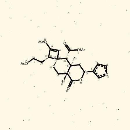 COC(=O)[C@@H]1[C@@]2(C)C[C@@H](c3ccoc3)OC(=O)[C@@H]2CC[C@]12C=C(OC)[C@@H]2CCOC(C)=O